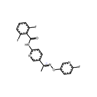 C/C(=N\Oc1ccc(F)nc1)c1ccc(NC(=O)c2c(F)cccc2F)nc1